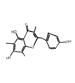 Cc1c(O)c(C)c2oc(-c3ccc(O)cc3)c(C)c(=O)c2c1O